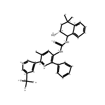 Cc1cc(NC(=O)NC2c3ccccc3C(C)(C)C[C@H]2O)c(-c2ccccc2)nc1-c1cncc(C(F)(F)F)c1